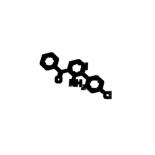 Nc1c(C(=O)c2ccccc2)ccnc1-c1ccc(Cl)cc1